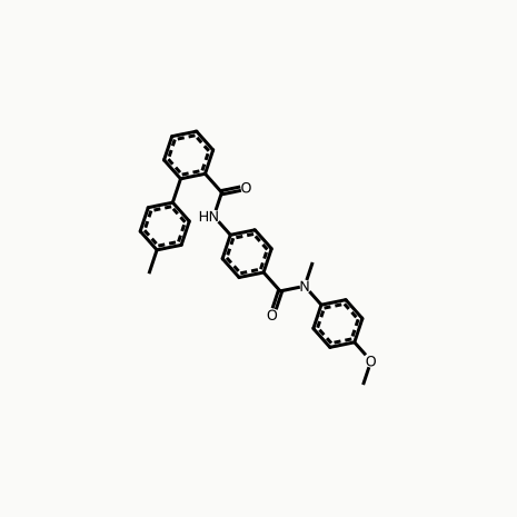 COc1ccc(N(C)C(=O)c2ccc(NC(=O)c3ccccc3-c3ccc(C)cc3)cc2)cc1